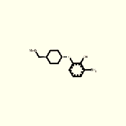 COC[C@H]1CC[C@H](Oc2cccc(N)c2C#N)CC1